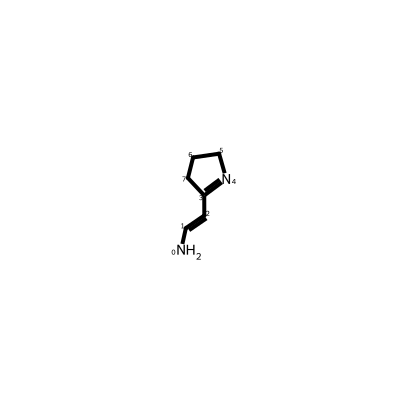 NC=CC1=NCCC1